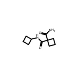 NC(=O)C1(C(=O)NC2CCC2)CCC1